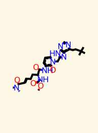 COC(=O)NC(CCC=CC(=O)N(C)C)C(=O)Nc1cccn(Cc2nc3c(CCC(C)(C)C)ncnc3[nH]2)c1=O